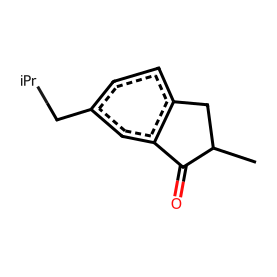 CC(C)Cc1ccc2c(c1)C(=O)C(C)C2